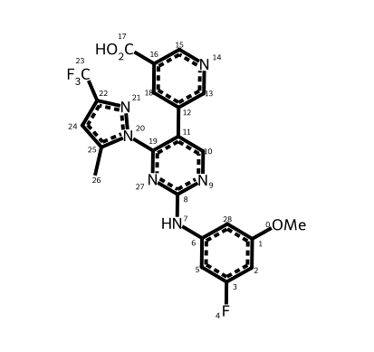 COc1cc(F)cc(Nc2ncc(-c3cncc(C(=O)O)c3)c(-n3nc(C(F)(F)F)cc3C)n2)c1